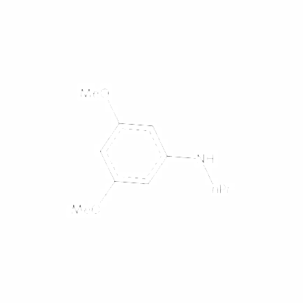 CCCNc1cc(OC)cc(OC)c1